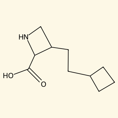 O=C(O)C1NCC1CCC1CCC1